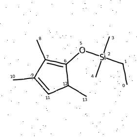 CC[Si](C)(C)OC1=C(C)C(C)=CC1C